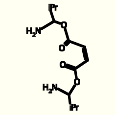 CC(C)C(N)OC(=O)/C=C\C(=O)OC(N)C(C)C